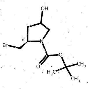 CC(C)(C)OC(=O)N1CC(O)C[C@@H]1CBr